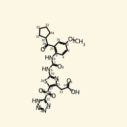 COc1ccc(NC(=O)Nc2nc(CC(=O)O)c(S(=O)(=O)c3nnn[nH]3)s2)c(C(=O)C2CCCC2)c1